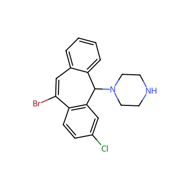 Clc1ccc2c(c1)C(N1CCNCC1)c1ccccc1C=C2Br